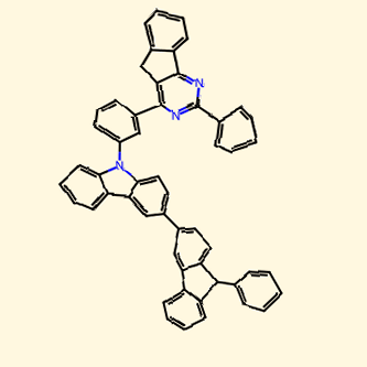 c1ccc(-c2nc(-c3cccc(-n4c5ccccc5c5cc(-c6ccc7c(c6)-c6ccccc6C7c6ccccc6)ccc54)c3)c3c(n2)-c2ccccc2C3)cc1